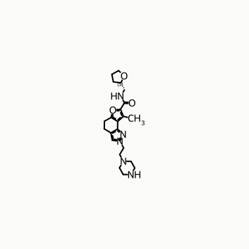 Cc1c(C(=O)NC[C@@H]2CCCO2)oc2c1-c1nn(CCN3CCNCC3)cc1CC2